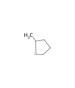 CC1[CH]CCC1